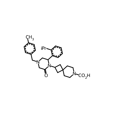 Cc1ccc(CN2CC(=O)N(C3CC4(CCN(C(=O)O)CC4)C3)C(c3ccccc3C(C)C)C2)cc1